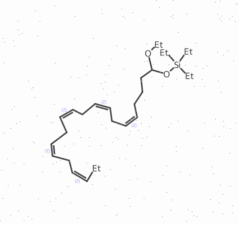 CC/C=C\C/C=C\C/C=C\C/C=C\C/C=C\CCCC(OCC)O[Si](CC)(CC)CC